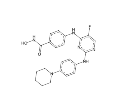 O=C(NO)c1ccc(Nc2nc(Nc3ccc(N4CCCCC4)cc3)ncc2F)cc1